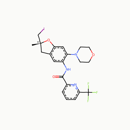 C[C@]1(CI)Cc2cc(NC(=O)c3cccc(C(F)(F)F)n3)c(N3CCOCC3)cc2O1